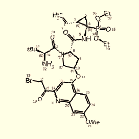 C=C[C@@H]1C[C@]1(NC(=O)[C@@H]1C[C@@H](Oc2cc(C(=O)CBr)nc3cc(OC)ccc23)CN1C(=O)[C@@H](N)C(C)(C)C)P(=O)(OCC)OCC